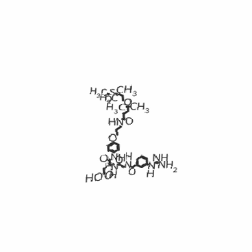 CC(=O)SC(C)(C)CCOC(C)(C)CCC(=O)NCCCOc1ccc(NC(=O)[C@H](CC(=O)O)NC(=O)CNC(=O)c2cccc(NC(=N)N)c2)cc1